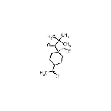 CC(=O)[C@H]1CC[C@@](CF)(C(=O)C(C)(C)C)CC1